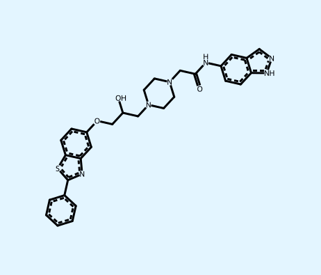 O=C(CN1CCN(CC(O)COc2ccc3sc(-c4ccccc4)nc3c2)CC1)Nc1ccc2[nH]ncc2c1